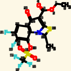 CCOC(=O)c1c2n(c3c(OS(=O)(=O)C(F)(F)F)c(F)c(F)cc3c1=O)C(C)S2